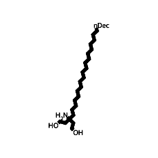 CCCCCCCCCCCCCCCCCCCCCCCCCCCCCC(N)(CCO)CCO